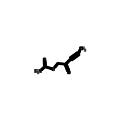 CC#CC(=O)COC(N)=O